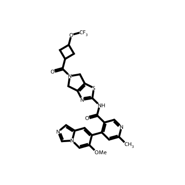 COc1cn2cncc2cc1-c1cc(C)ncc1C(=O)Nc1nc2c(s1)CN(C(=O)C1CC(OC(F)(F)F)C1)C2